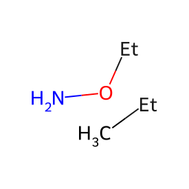 CCC.CCON